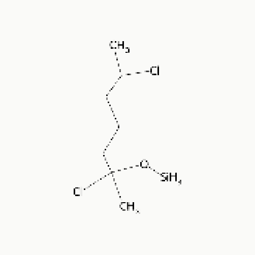 CC(Cl)CCCC(C)(Cl)O[SiH3]